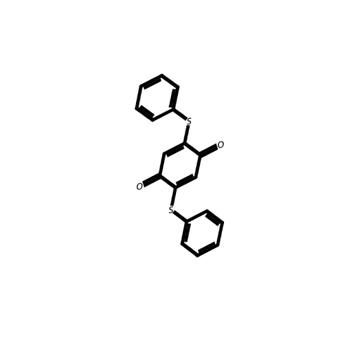 O=C1C=C(Sc2ccccc2)C(=O)C=C1Sc1ccccc1